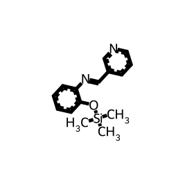 C[Si](C)(C)Oc1ccccc1N=Cc1cccnc1